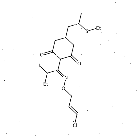 CCSC(C)CC1CC(=O)C(C(=NOCC=CCl)C(I)CC)C(=O)C1